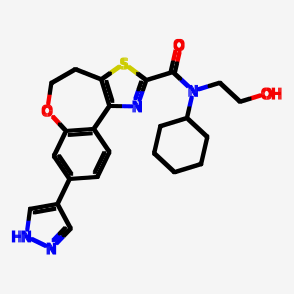 O=C(c1nc2c(s1)CCOc1cc(-c3cn[nH]c3)ccc1-2)N(CCO)C1CCCCC1